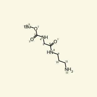 CC(C)(C)OC(=O)NCC(=O)NCCCN